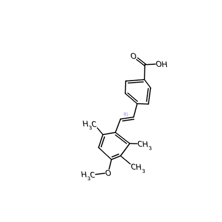 COc1cc(C)c(/C=C/c2ccc(C(=O)O)cc2)c(C)c1C